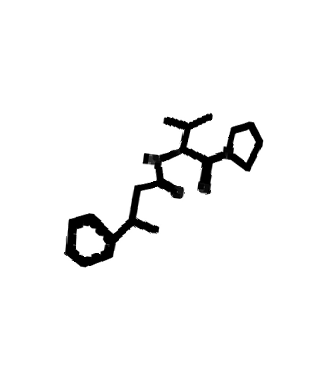 CC(CC(=O)N[C@H](C(=O)N1CCCC1)C(C)C)c1ccccc1